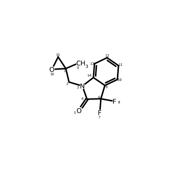 CC1(CN2C(=O)C(F)(F)c3ccccc32)CO1